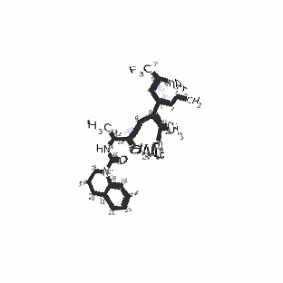 C=C/C=C(\C=C(/CCC)C(F)(F)F)C(/C=C(\OC)C(C)NC(=O)N1CCCc2ccccc21)=C(C)C